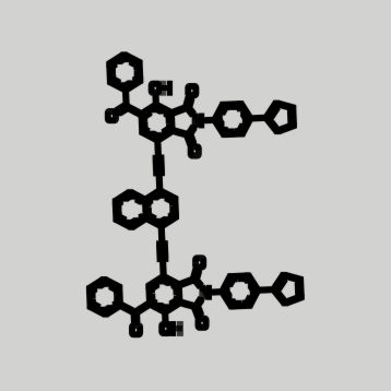 O=C(c1ccccc1)c1cc(C#Cc2ccc(C#Cc3cc(C(=O)c4ccccc4)c(O)c4c3C(=O)N(c3ccc(C5=CC=CC5)cc3)C4=O)c3ccccc23)c2c(c1O)C(=O)N(c1ccc(C3=CC=CC3)cc1)C2=O